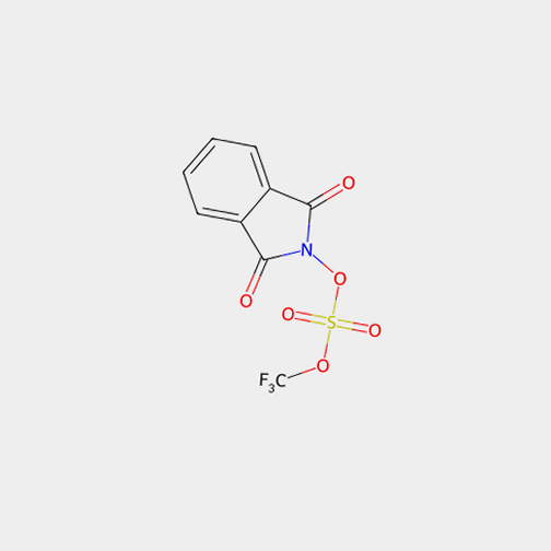 O=C1c2ccccc2C(=O)N1OS(=O)(=O)OC(F)(F)F